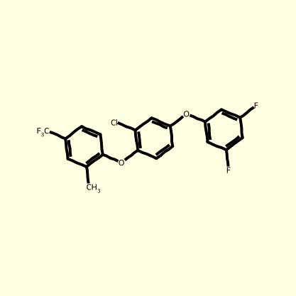 Cc1cc(C(F)(F)F)ccc1Oc1ccc(Oc2cc(F)cc(F)c2)cc1Cl